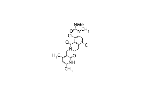 CNC(=O)N(C)c1cc(Cl)c2c(c1Cl)C(=O)N(Cc1c(C)cc(C)[nH]c1=O)CC2